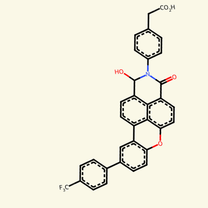 O=C(O)Cc1ccc(N2C(=O)c3ccc4c5c(ccc(c35)C2O)-c2cc(-c3ccc(C(F)(F)F)cc3)ccc2O4)cc1